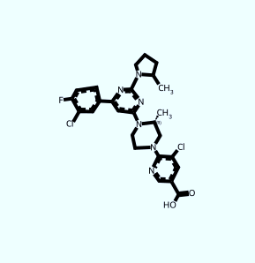 CC1CCCN1c1nc(-c2ccc(F)c(Cl)c2)cc(N2CCN(c3ncc(C(=O)O)cc3Cl)C[C@H]2C)n1